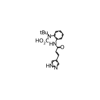 CC(C)(C)N(C(=O)O)c1ccccc1NC(=O)C=Cc1cn[nH]c1